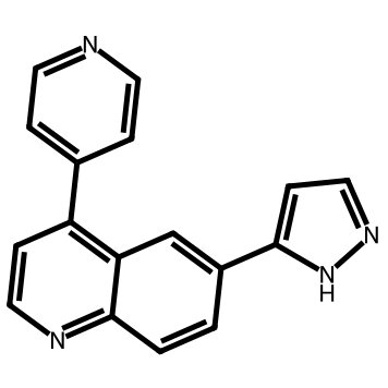 c1cc(-c2ccnc3ccc(-c4ccn[nH]4)cc23)ccn1